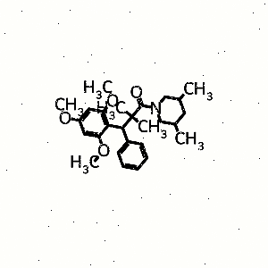 COc1cc(OC)c(C(c2ccccc2)C(C)(C)C(=O)N2CC(C)CC(C)C2)c(OC)c1